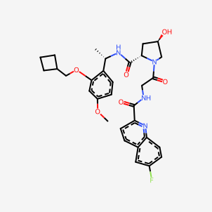 COc1ccc([C@H](C)NC(=O)[C@@H]2C[C@@H](O)CN2C(=O)CNC(=O)c2ccc3cc(F)ccc3n2)c(OCC2CCC2)c1